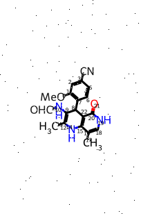 COc1cc(C#N)ccc1C1C(NC=O)=C(C)Nc2c(C)c[nH]c(=O)c21